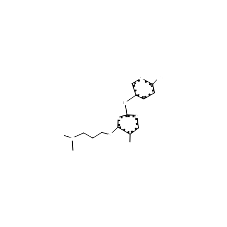 CN(C)CCCNc1nc(Nc2ccc(C#N)nc2)ncc1C(F)(F)F